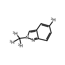 [2H]c1ccc2nn(C([2H])([2H])[2H])cc2c1